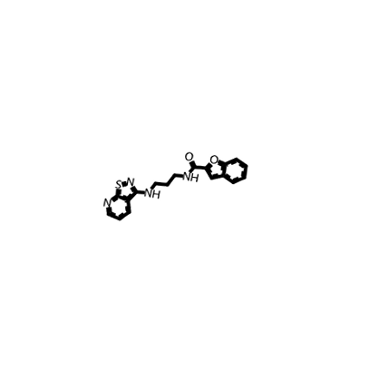 O=C(NCCCNc1nsc2ncccc12)c1cc2ccccc2o1